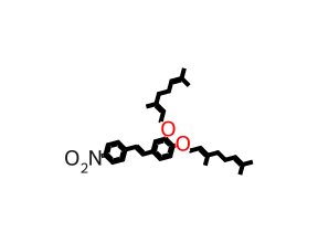 CC(C)=CCC/C(C)=C/COc1ccc(/C=C/c2ccc([N+](=O)[O-])cc2)cc1OC/C=C(\C)CCC=C(C)C